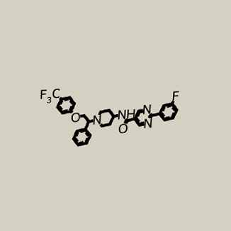 O=C(NC1CCN(C(COc2ccc(C(F)(F)F)cc2)c2ccccc2)CC1)c1cnc(-c2cccc(F)c2)nc1